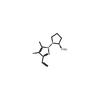 C=Cc1nn(N2CCC[C@H]2C=O)c(C)c1C